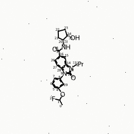 CC(F)Oc1cccc(-n2c(=O)n(C(C)C)c3cc(C(=O)N[C@H]4CCC[C@@H]4O)ccc32)c1